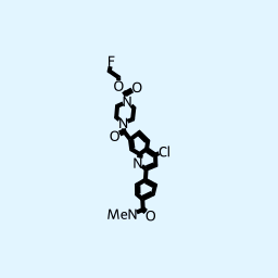 CNC(=O)c1ccc(-c2cc(Cl)c3ccc(C(=O)N4CCN(C(=O)OCCF)CC4)cc3n2)cc1